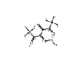 C=C(C(=O)C(C)(C)C)/C(=N\OC)C(=O)C(C)(C)C